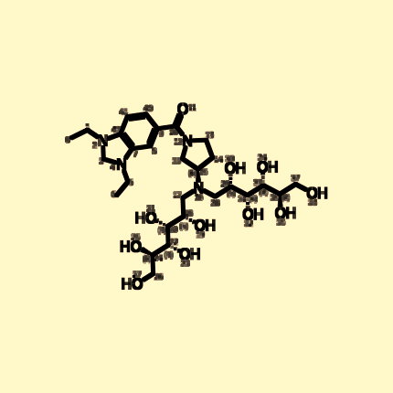 CCN1CN(CC)c2cc(C(=O)N3CC[C@@H](N(C[C@H](O)[C@@H](O)[C@H](O)[C@H](O)CO)C[C@H](O)[C@@H](O)[C@H](O)[C@H](O)CO)C3)ccc21